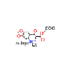 CCCCCCC[N+]1(CC)C=C(C(=O)OCC(=O)[O-])C(=O)c2cc3c(cc21)OCO3